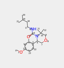 COc1ccc(C2COCC(C)(C)N2C(=O)NCCC(C)C)cc1